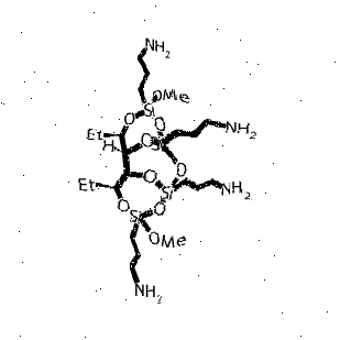 CC[C@@H]1O[Si](CCCN)(OC)O[Si]2(CCCN)OC1[C@@H]1O[Si](CCCN)(O[Si](CCCN)(OC)O[C@@H]1CC)O2